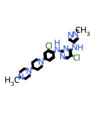 CN1CCN(C2CCN(c3ccc(Nc4ncc(Cl)c(Nc5cnn(C)c5)n4)c(Cl)c3)CC2)CC1